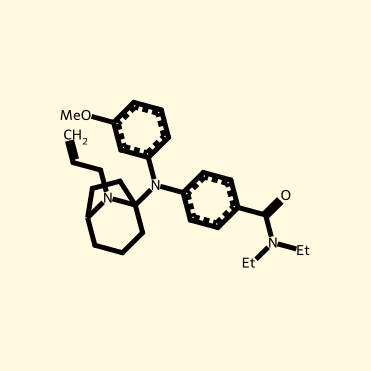 C=CCN1C2CCCC1(N(c1ccc(C(=O)N(CC)CC)cc1)c1cccc(OC)c1)CC2